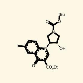 CCOC(=O)c1cn([C@H]2CN(C(=O)OC(C)(C)C)C[C@@H]2O)c2ccc(I)cc2c1=O